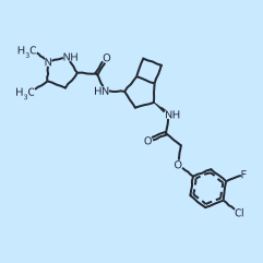 CC1CC(C(=O)NC2C[C@H](NC(=O)COc3ccc(Cl)c(F)c3)C3CCC23)NN1C